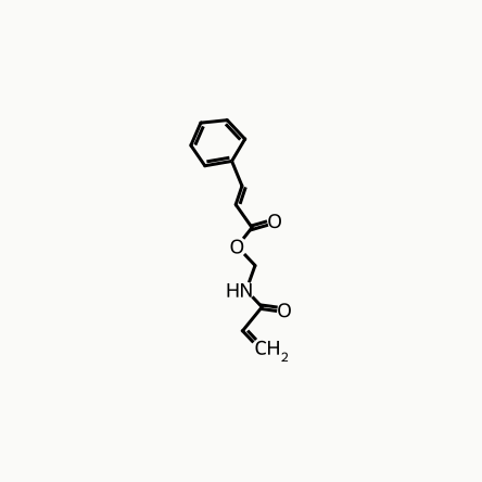 C=CC(=O)NCOC(=O)C=Cc1ccccc1